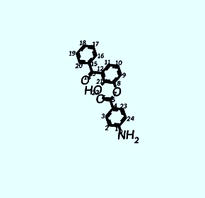 Nc1ccc(C(=O)Oc2cccc(C(=O)c3ccccc3)c2O)cc1